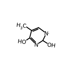 CC1=C[N]C(O)N=C1O